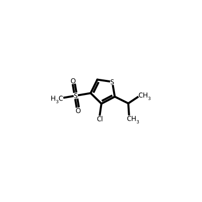 CC(C)c1scc(S(C)(=O)=O)c1Cl